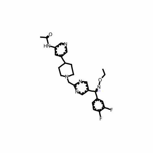 CCO/N=C(\c1cnc(CN2CCC(c3cncc(NC(C)=O)c3)CC2)nc1)c1ccc(F)c(F)c1